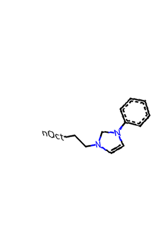 CCCCCCCCCCN1C=CN(c2ccccc2)C1